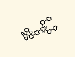 c1ccc(-c2cccc(-c3cc(-c4ccc(-c5cccc6c5Oc5ccccc5C65c6ccccc6-c6ccccc65)cc4)nc(-c4cccc(-c5ccccc5)c4)n3)c2)cc1